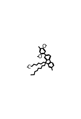 CCCCCCCCC1(CCCCCCCC)c2cc(C)ccc2-c2ccc(-c3cc(OC)c(C)cc3OC)cc21